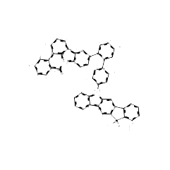 CC1(C)c2ccccc2-c2cc3c(cc21)c1ccccc1n3-c1ccc(-c2ccccc2-c2ccc3c(c2)c2cccc4c5ccccc5c(=O)n3c42)cc1